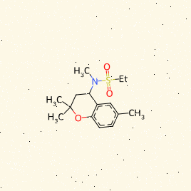 CCS(=O)(=O)N(C)C1CC(C)(C)Oc2ccc(C)cc21